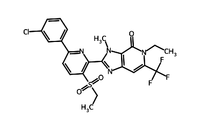 CCn1c(C(F)(F)F)cc2nc(-c3nc(-c4cccc(Cl)c4)ccc3S(=O)(=O)CC)n(C)c2c1=O